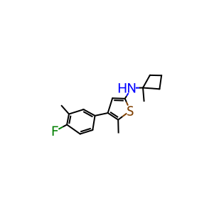 Cc1cc(-c2cc(NC3(C)CCC3)sc2C)ccc1F